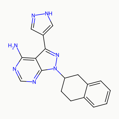 Nc1ncnc2c1c(-c1cn[nH]c1)nn2C1CCc2ccccc2C1